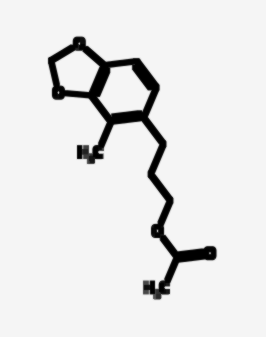 CC(=O)OCCCc1ccc2c(c1C)OCO2